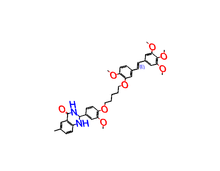 COc1cc(C2NC(=O)c3cc(C)ccc3N2)ccc1OCCCCCOc1cc(/C=C/c2cc(OC)c(OC)c(OC)c2)ccc1OC